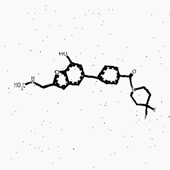 O=C(O)NCc1cc2cc(-c3ccc(C(=O)N4CCC(F)(F)CC4)cc3)cc(O)c2o1